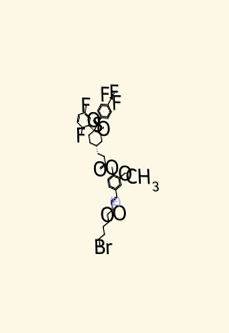 COc1cc(/C=C/C(=O)OCCCCBr)ccc1OC(=O)CC[C@H]1CC[C@@](C2C=C(F)C=CC2F)(S(=O)(=O)c2ccc(C(F)(F)F)cc2)CC1